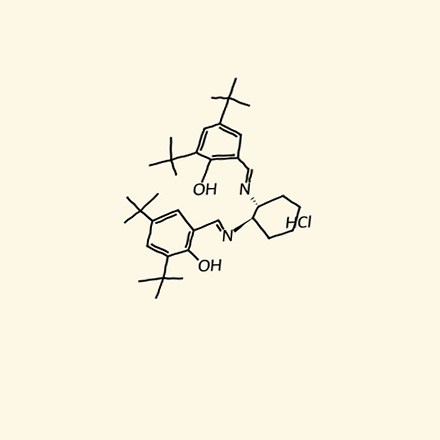 CC(C)(C)c1cc(C=N[C@@H]2CCCC[C@H]2N=Cc2cc(C(C)(C)C)cc(C(C)(C)C)c2O)c(O)c(C(C)(C)C)c1.Cl